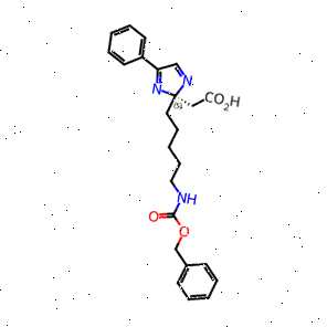 O=C(O)C[C@@]1(CCCCCNC(=O)OCc2ccccc2)N=CC(c2ccccc2)=N1